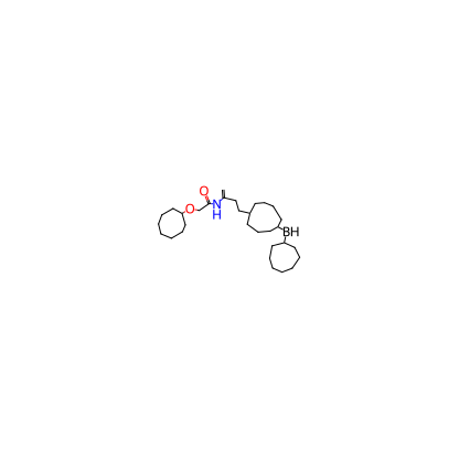 C=C(CCC1CCCCC(BC2CCCCCCC2)CCC1)NC(=O)COC1CCCCCCC1